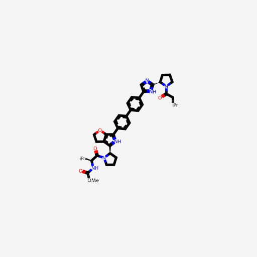 COC(=O)N[C@H](C(=O)N1CCC[C@@H]1c1[nH]c(-c2ccc(-c3ccc(-c4cnc([C@@H]5CCCN5C(=O)CC(C)C)[nH]4)cc3)cc2)c2c1CCO2)C(C)C